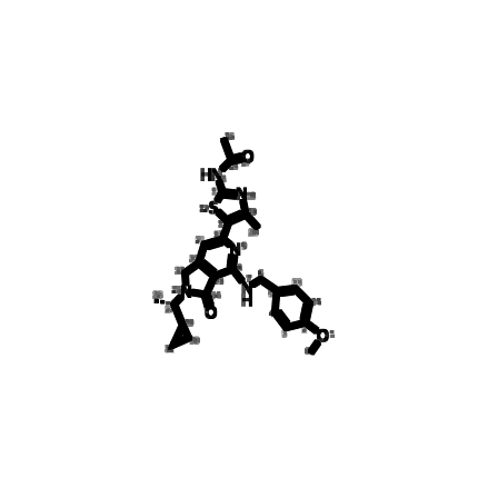 COc1ccc(CNc2nc(-c3sc(NC(C)=O)nc3C)cc3c2C(=O)N([C@@H](C)C2CC2)C3)cc1